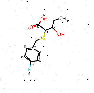 CCC(O)C(SCc1ccc(F)cc1)C(=O)O